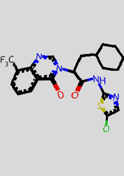 O=C(Nc1ncc(Cl)s1)C(CC1CCCCC1)n1cnc2c(C(F)(F)F)cccc2c1=O